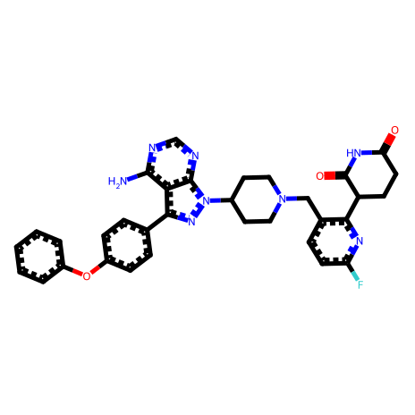 Nc1ncnc2c1c(-c1ccc(Oc3ccccc3)cc1)nn2C1CCN(Cc2ccc(F)nc2C2CCC(=O)NC2=O)CC1